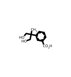 CC(CO)(CO)c1cccc(C(=O)O)c1